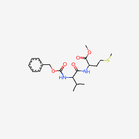 COC(=O)C(CCSC)NC(=O)C(NC(=O)OCc1ccccc1)C(C)C